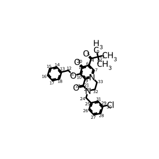 CC(C)(C)C(=O)c1cn2c(c(OCc3ccccc3)c1=O)C(=O)N(Cc1cccc(Cl)c1)CC2